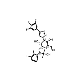 Cc1c(F)cccc1[C@@H](S[C@@H]1O[C@H](CO)[C@H](O)[C@H](n2cc(-c3cc(F)c(F)c(F)c3)nn2)[C@H]1O)C(C)(C)O